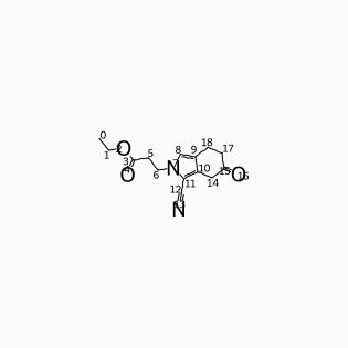 CCOC(=O)CCn1cc2c(c1C#N)CC(=O)CC2